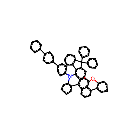 c1ccc(-c2ccc(-c3ccc(N(c4ccccc4-c4ccc5c6c(cccc46)-c4ccccc4O5)c4cccc5c4-c4ccccc4C5(c4ccccc4)c4ccccc4)cc3)cc2)cc1